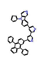 c1ccc(-c2c3ccccc3c(-c3ccccc3)c3cc(-c4cncc(-c5cncc(-c6ccc7c(c6)c6cnccc6n7-c6ccccc6)c5)c4)ccc23)cc1